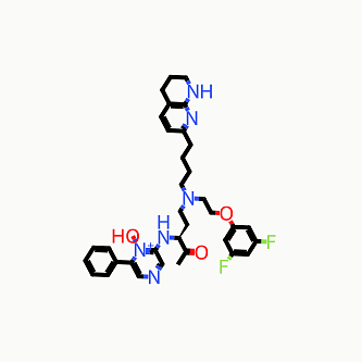 CC(=O)[C@H](CCN(CCCCc1ccc2c(n1)NCCC2)CCOc1cc(F)cc(F)c1)Nc1cncc(-c2ccccc2)[n+]1O